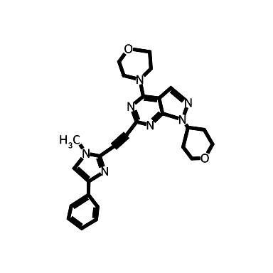 Cn1cc(-c2ccccc2)nc1C#Cc1nc(N2CCOCC2)c2cnn(C3CCOCC3)c2n1